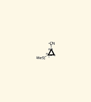 CS[C@H]1C[C@H]1C#N